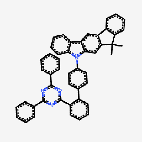 CC1(C)c2ccccc2-c2cc3c4ccccc4n(-c4ccc(-c5ccccc5-c5nc(-c6ccccc6)nc(-c6ccccc6)n5)cc4)c3cc21